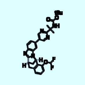 CC(C)(C)OC(=O)NC(C)(C)c1ncc(-c2ccc3nc4n(c3c2)[C@@H]2C[C@H]4Cc3cccc(OC(F)F)c32)cn1